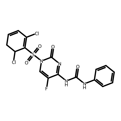 O=C(Nc1ccccc1)Nc1nc(=O)n(S(=O)(=O)C2=C(Cl)C=CCC2Cl)cc1F